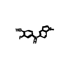 Cn1ccc2cc(Nc3ccc(O)c(F)c3)ccc21